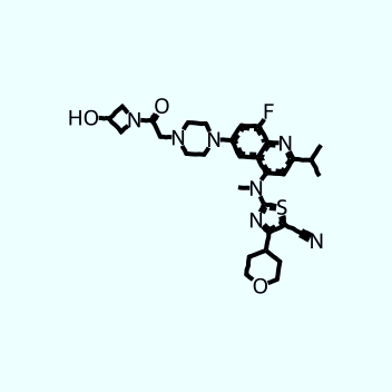 CC(C)c1cc(N(C)c2nc(C3CCOCC3)c(C#N)s2)c2cc(N3CCN(CC(=O)N4CC(O)C4)CC3)cc(F)c2n1